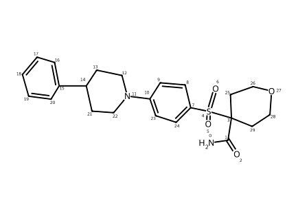 NC(=O)C1(S(=O)(=O)c2ccc(N3CCC(c4ccccc4)CC3)cc2)CCOCC1